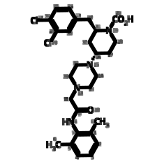 Cc1cccc(C)c1NC(=O)CN1CCN([C@H]2CCN(C(=O)O)[C@H](Cc3ccc(Cl)c(Cl)c3)C2)CC1